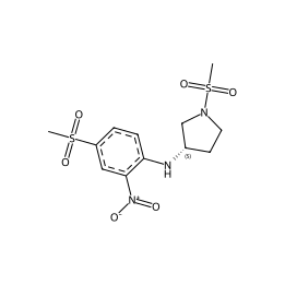 CS(=O)(=O)c1ccc(N[C@H]2CCN(S(C)(=O)=O)C2)c([N+](=O)[O-])c1